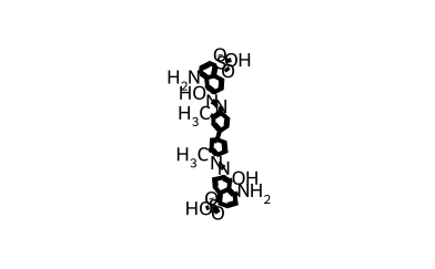 Cc1cc(-c2ccc(/N=N/c3ccc4c(S(=O)(=O)O)ccc(N)c4c3O)c(C)c2)ccc1/N=N/c1ccc2c(S(=O)(=O)O)ccc(N)c2c1O